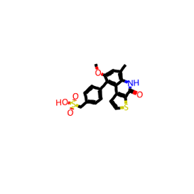 COc1cc(C)c2[nH]c(=O)c3sccc3c2c1-c1ccc(CS(=O)(=O)O)cc1